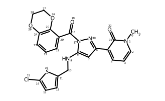 Cn1cccc(-c2cc(NCc3ccc(Cl)s3)n(C(=O)c3cccc4c3OCCO4)n2)c1=O